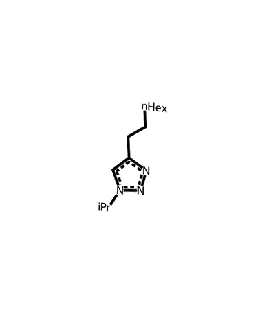 CCCCCCCCc1cn(C(C)C)nn1